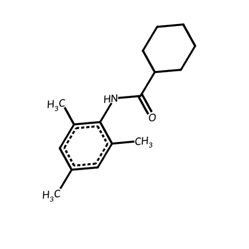 Cc1cc(C)c(NC(=O)C2CCCCC2)c(C)c1